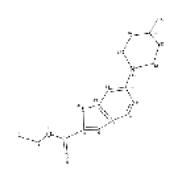 CCOC(=O)c1cc2ccc(N3CCC(C)CC3)cc2s1